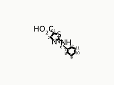 O=C(O)c1cnc(NCc2ccccc2)s1